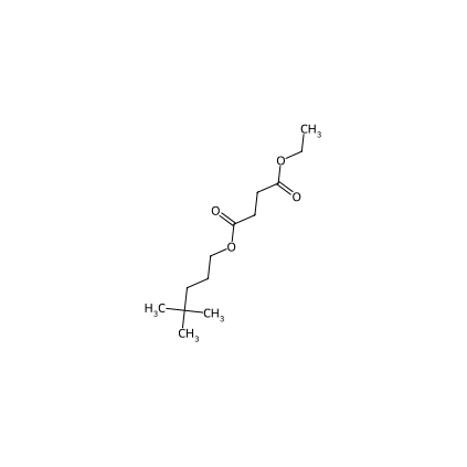 CCOC(=O)CCC(=O)OCCCC(C)(C)C